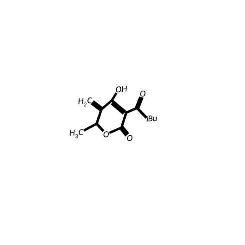 C=C1C(O)=C(C(=O)C(C)CC)C(=O)OC1C